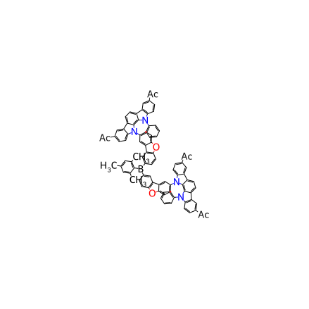 CC(=O)c1ccc2c(c1)c1ccc3c4cc(C(C)=O)ccc4n(-c4ccc5oc6ccc(B(c7ccc8oc9ccc(-n%10c%11ccc(C(C)=O)cc%11c%11ccc%12c%13cc(C(C)=O)ccc%13n(-c%13ccccc%13)c%12c%11%10)cc9c8c7)c7c(C)cc(C)cc7C)cc6c5c4)c3c1n2-c1ccccc1